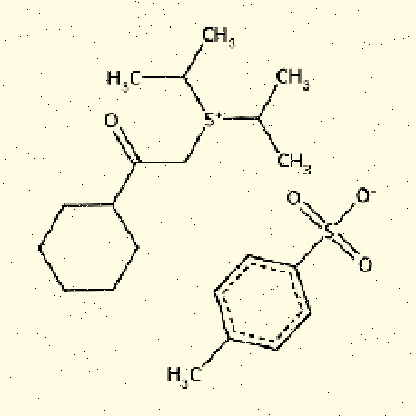 CC(C)[S+](CC(=O)C1CCCCC1)C(C)C.Cc1ccc(S(=O)(=O)[O-])cc1